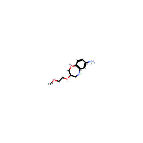 CC(C)OCCOC1CNc2cc(N)ccc2OC1